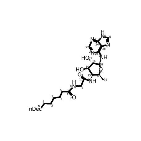 CCCCCCCCCCCCCCCC(=O)NCC(=O)N[C@@H]1[C@@H](O)[C@H](O)[C@@H](Nc2ncnc3[nH]cnc23)O[C@H]1C